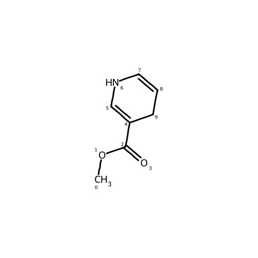 COC(=O)C1=CNC=CC1